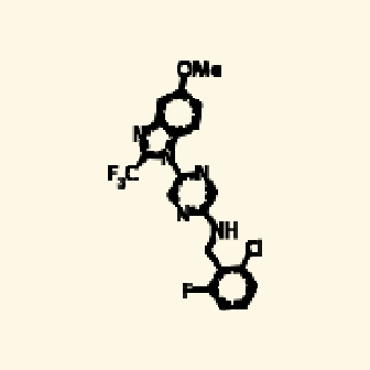 COc1ccc2c(c1)nc(C(F)(F)F)n2-c1cnc(NCc2c(F)cccc2Cl)cn1